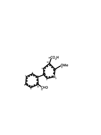 COc1ncc(-c2ccccc2C=O)cc1C(=O)O